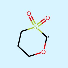 O=S1(=O)[C]OCCC1